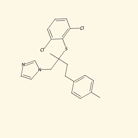 Cc1ccc(CCC(C)(Cn2ccnc2)Sc2c(Cl)cccc2Cl)cc1